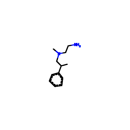 CC(CN(C)CCN)c1ccccc1